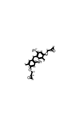 Cc1cc(Cc2cc(C)c(OCC3CO3)cc2C(C)C)c(C(C)C)cc1OCC1CO1